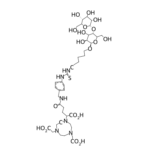 O=C(O)CN1CCN(CC(=O)O)CCN(C(CCC(=O)NCc2ccc(NC(=S)NCCCCCCO[C@@H]3OC(CO)[C@@H](O[C@@H]4OC(CO)[C@H](O)C(O)[C@@H]4O)C(O)[C@@H]3O)cc2)C(=O)O)CC1